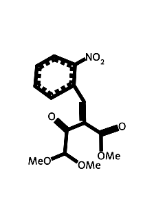 COC(=O)C(=Cc1ccccc1[N+](=O)[O-])C(=O)C(OC)OC